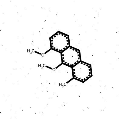 COc1cccc2cc3cccc(C)c3c(OC)c12